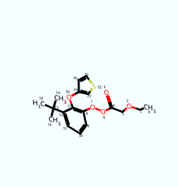 CCOCC(=O)OOc1cccc(C(C)(C)C)c1Oc1ccsc1